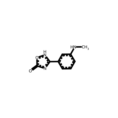 CNc1cccc(-c2nc(=O)o[nH]2)c1